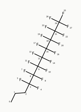 CC[CH]C(F)(F)C(F)(F)C(F)(F)C(F)(F)C(F)(F)C(F)(F)C(F)(F)C(F)(F)F